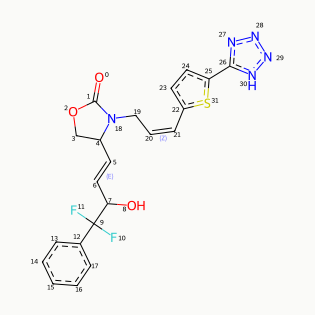 O=C1OCC(/C=C/C(O)C(F)(F)c2ccccc2)N1C/C=C\c1ccc(-c2nnn[nH]2)s1